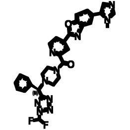 Cn1cncc1-c1ccc2oc(-c3ccnc(C(=O)N4CCN([C@H](c5ccccc5)c5nnn(C(F)F)n5)CC4)c3)nc2c1